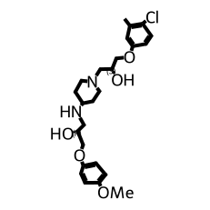 COc1ccc(OC[C@H](O)CNC2CCN(C[C@H](O)COc3ccc(Cl)c(C)c3)CC2)cc1